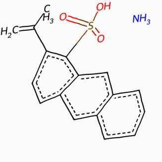 C=C(C)c1ccc2cc3ccccc3cc2c1S(=O)(=O)O.N